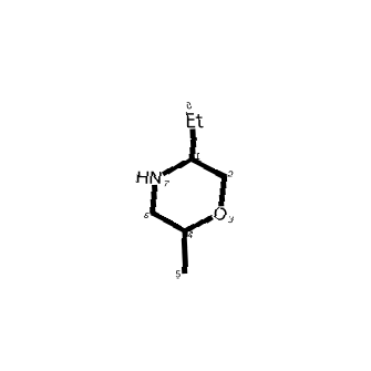 CCC1COC(C)CN1